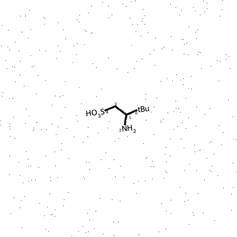 CC(C)(C)C(N)CS(=O)(=O)O